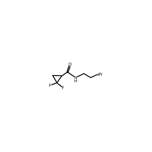 CC(C)CCNC(=O)C1CC1(F)F